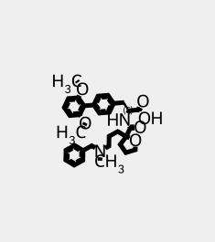 COc1cccc(OC)c1-c1ccc(C[C@H](NC(=O)C2(CCCN(C)Cc3ccccc3)CCCO2)C(=O)O)cc1